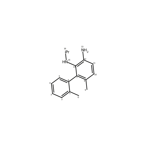 Cc1ccccc1-c1c(C)ccc(N)c1NC(C)C